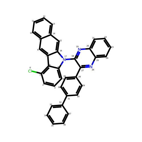 Clc1cccc2c1c1cc3ccccc3cc1n2-c1nc2ccccc2nc1-c1ccc(-c2ccccc2)cc1